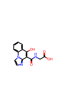 O=C(O)CNC(=O)c1c(O)c2ccccc2n2ccnc12